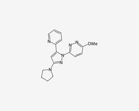 COc1ccc(-n2nc(N3CCCC3)cc2-c2ccccn2)nn1